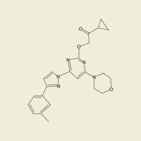 Cc1cccc(-c2ccn(-c3cc(N4CCOCC4)nc(OCC(=O)C4CC4)n3)n2)c1